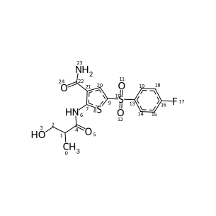 CC(CO)C(=O)Nc1sc(S(=O)(=O)c2ccc(F)cc2)cc1C(N)=O